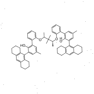 Cc1cc(-c2ccccc2OC(C)C(C)(C)[C@H](C)Oc2ccccc2-c2cc(C)cc(-c3c4c(cc5c3CCCC5)CCCC4)c2O)c(O)c(-c2c3c(cc4c2CCCC4)CCCC3)c1